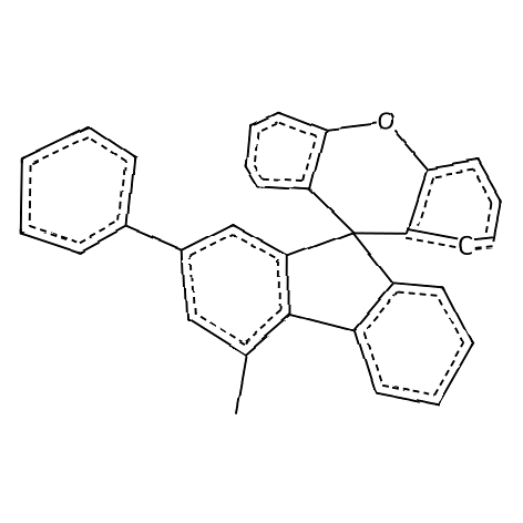 Cc1cc(-c2ccccc2)cc2c1-c1ccccc1C21c2ccccc2Oc2ccccc21